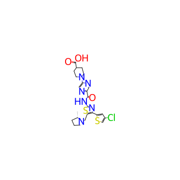 C[C@H]1CCCN1Cc1sc(NC(=O)c2cnc(N3CCC(C(=O)O)CC3)cn2)nc1-c1cc(Cl)cs1